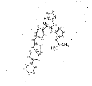 CC(C)Cn1ccnc1CN(Cc1ncc[nH]1)C(=O)c1ccc(CN2CCC3(CCN(C4CCCCC4)CC3)C2)cc1